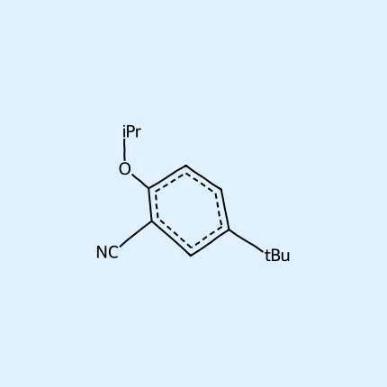 CC(C)Oc1ccc(C(C)(C)C)cc1C#N